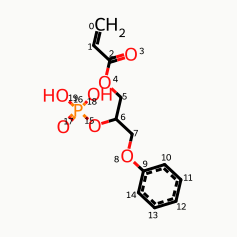 C=CC(=O)OCC(COc1ccccc1)OP(=O)(O)O